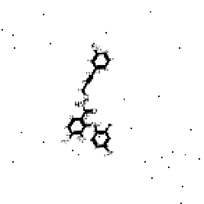 Cc1cc(Br)ccc1Nc1c(C(=O)NOCC#Cc2cccc(F)c2)ccc(F)c1F